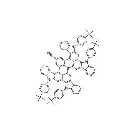 CC(C)(C)c1ccc(-n2c3ccccc3c3c4c5c(cc6c7ccccc7n(-c7ccc(C(C)(C)C)cc7)c6c5cc32)B2c3c-4cc(C#N)cc3-c3c4c2cc2c5ccccc5n(-c5ccc(C(C)(C)C)cc5)c2c4cc2c3c3ccccc3n2-c2ccc(C(C)(C)C)cc2)cc1